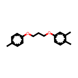 Cc1ccc(OCCCOc2ccc(C)c(C)c2)cc1